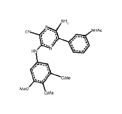 [C-]#[N+]c1nc(N)c(-c2cccc(NC(C)=O)c2)nc1Nc1cc(OC)c(OC)c(OC)c1